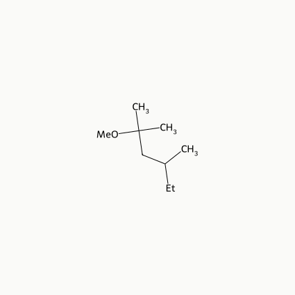 CCC(C)CC(C)(C)OC